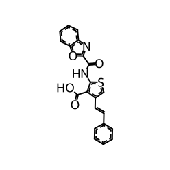 O=C(Nc1scc(/C=C/c2ccccc2)c1C(=O)O)c1nc2ccccc2o1